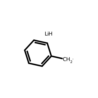 [CH2]c1ccccc1.[LiH]